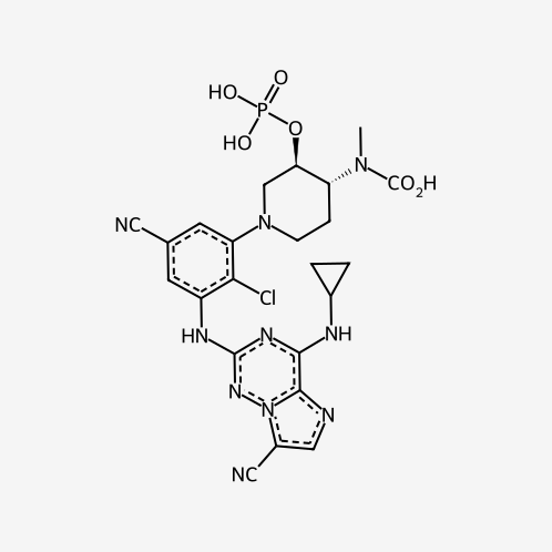 CN(C(=O)O)[C@@H]1CCN(c2cc(C#N)cc(Nc3nc(NC4CC4)c4ncc(C#N)n4n3)c2Cl)C[C@H]1OP(=O)(O)O